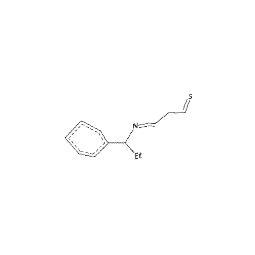 CCC(N=CCC=S)c1ccccc1